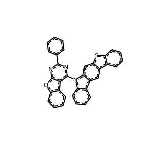 c1ccc(-c2nc(-n3c4ccccc4c4cc5c(cc43)sc3ccccc35)c3c(n2)oc2ccccc23)cc1